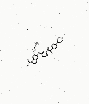 COCCOc1cc2c(ccn2C(N)=O)cc1Oc1ccnc(NC(=O)c2ccc(C3CCNCC3)cc2)c1